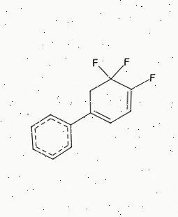 FC1=CC=C(c2ccccc2)CC1(F)F